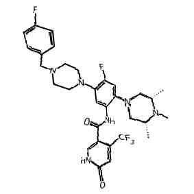 C[C@@H]1CN(c2cc(F)c(N3CCN(Cc4ccc(F)cc4)CC3)cc2NC(=O)c2c[nH]c(=O)cc2C(F)(F)F)C[C@H](C)N1C